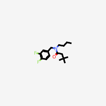 CCCCN(Cc1ccc(F)c(F)c1)C(=O)CC(C)(C)C